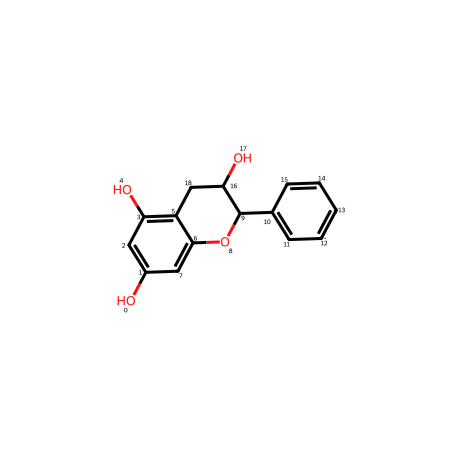 Oc1cc(O)c2c(c1)OC(c1c[c][c]cc1)C(O)C2